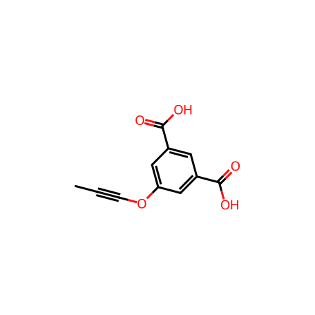 CC#COc1cc(C(=O)O)cc(C(=O)O)c1